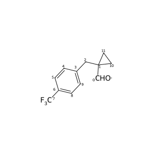 O=[C]C1(Cc2ccc(C(F)(F)F)cc2)CC1